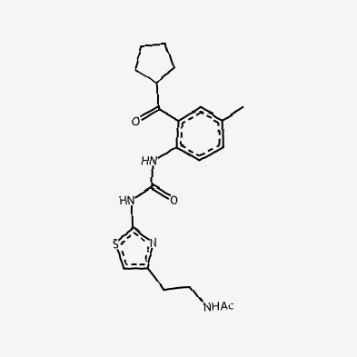 CC(=O)NCCc1csc(NC(=O)Nc2ccc(C)cc2C(=O)C2CCCC2)n1